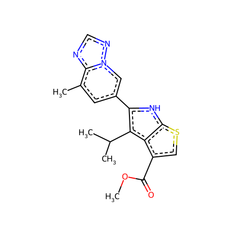 COC(=O)c1csc2[nH]c(-c3cc(C)c4ncnn4c3)c(C(C)C)c12